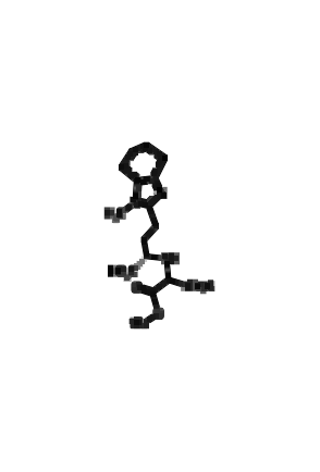 CCCCCCCC(N[C@@H](CCc1nc2ccccc2n1C)C(=O)O)C(=O)OC(C)(C)C